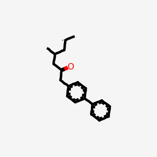 C[CH]CC(C)CC(=O)Cc1ccc(-c2ccccc2)cc1